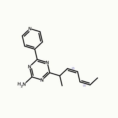 C/C=C\C=C/C(C)c1nc(N)nc(-c2ccncc2)n1